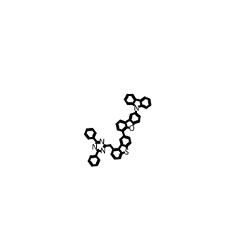 c1ccc(-c2nc(Cc3cccc4sc5ccc(-c6cccc7c6oc6ccc(-n8c9ccccc9c9ccccc98)cc67)cc5c34)nc(-c3ccccc3)n2)cc1